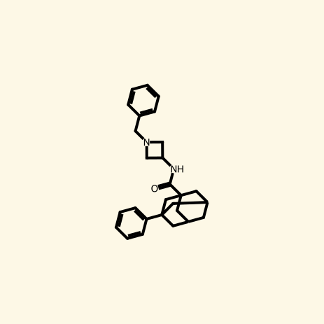 O=C(NC1CN(Cc2ccccc2)C1)C12CC3CC(C1)CC(c1ccccc1)(C3)C2